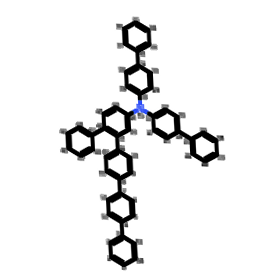 c1ccc(-c2ccc(-c3ccc(-c4cc(N(c5ccc(-c6ccccc6)cc5)c5ccc(-c6ccccc6)cc5)ccc4-c4ccccc4)cc3)cc2)cc1